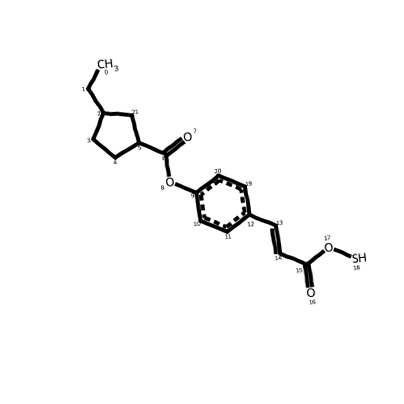 CCC1CCC(C(=O)Oc2ccc(/C=C/C(=O)OS)cc2)C1